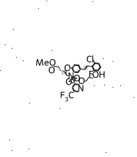 COC(=O)CC[C@H]1CN(S(=O)(=O)c2cc(C(F)(F)F)cnc2OCCCO)c2cc(/C=C/c3c(F)cccc3Cl)ccc2O1